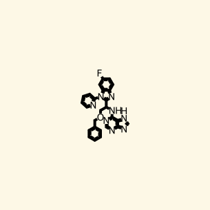 Fc1ccc2nc(C(COCc3ccccc3)Nc3ncnc4nc[nH]c34)n(-c3ccccn3)c2c1